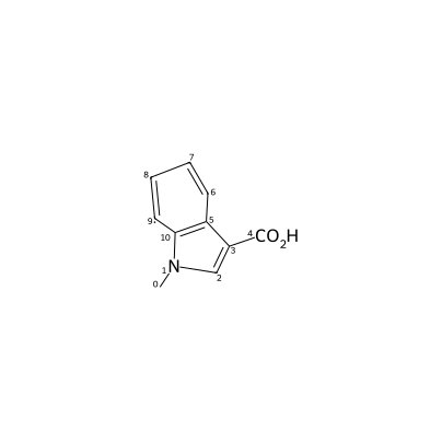 Cn1cc(C(=O)O)c2ccc[c]c21